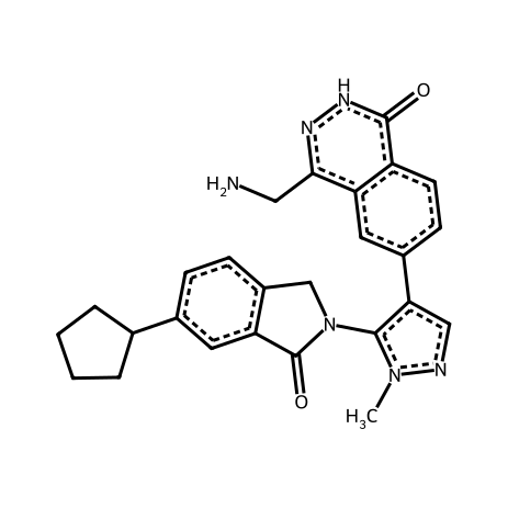 Cn1ncc(-c2ccc3c(=O)[nH]nc(CN)c3c2)c1N1Cc2ccc(C3CCCC3)cc2C1=O